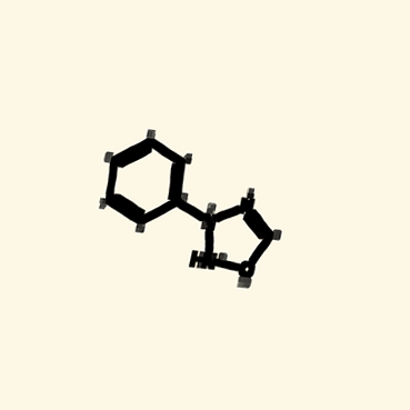 C1=NN(c2ccccc2)NO1